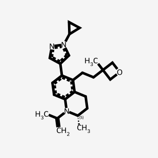 C=C(C)N1c2ccc(-c3cnn(C4CC4)c3)c(CCC3(C)COC3)c2CC[C@@H]1C